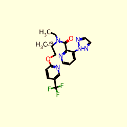 CCN(C(=O)c1ncccc1-n1nccn1)[C@@H](C)COc1ccc(C(F)(F)F)cn1